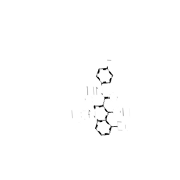 CCc1cccc2c1c(O)c(C(=O)Nc1ccc(F)cc1)c(=O)n2C